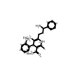 CCOC(=O)C1=C(CCC(N)c2ccccc2)NC(C)=C(C(=O)OC)C1c1ccccc1C(F)(F)F